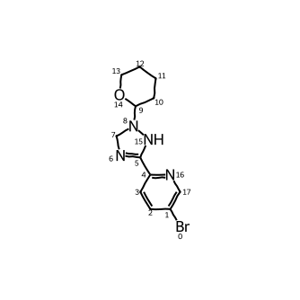 Brc1ccc(C2=NCN(C3CCCCO3)N2)nc1